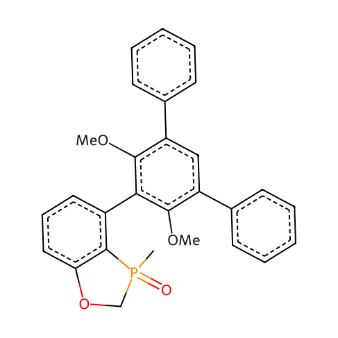 COc1c(-c2ccccc2)cc(-c2ccccc2)c(OC)c1-c1cccc2c1P(C)(=O)CO2